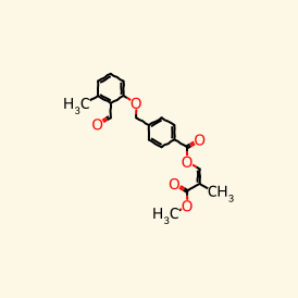 COC(=O)C(C)=COC(=O)c1ccc(COc2cccc(C)c2C=O)cc1